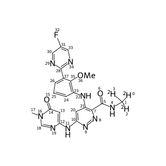 [2H]C([2H])([2H])NC(=O)c1nnc(Nc2cc(=O)n(C)cn2)cc1Nc1cccc(-c2ncc(F)cn2)c1OC